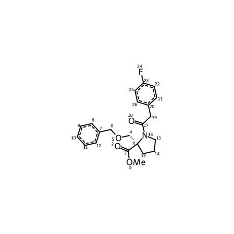 COC(=O)[C@]1(COCc2ccccc2)CCCN1C(=O)Cc1ccc(F)cc1